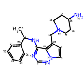 C[C@@H](Nc1ncnn2ccc(CN3CCC(N)CC3)c12)c1ccccc1